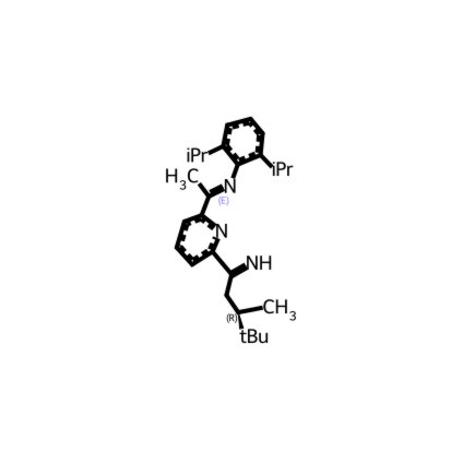 C/C(=N\c1c(C(C)C)cccc1C(C)C)c1cccc(C(=N)C[C@@H](C)C(C)(C)C)n1